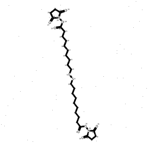 O=C(CCCCCCCCCSSCCCCCCCCCC(=O)ON1C(=O)CCC1=O)ON1C(=O)CCC1=O